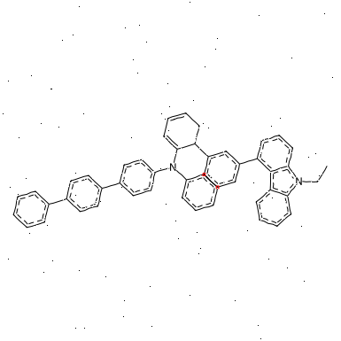 CCn1c2ccccc2c2c(-c3cccc(C4CC=CC=C4N(c4ccccc4)c4ccc(-c5ccc(-c6ccccc6)cc5)cc4)c3)cccc21